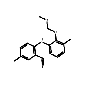 COCOc1c(C)cccc1Pc1ccc(C)cc1C=O